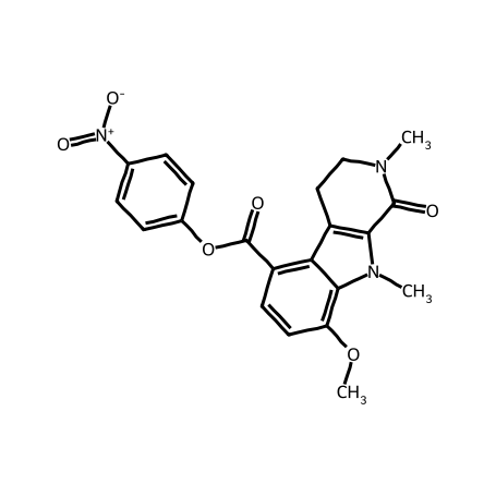 COc1ccc(C(=O)Oc2ccc([N+](=O)[O-])cc2)c2c3c(n(C)c12)C(=O)N(C)CC3